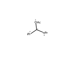 CCCC(OC(C)=O)C(C)C